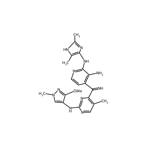 COc1nn(C)cc1Nc1ncc(C)c(C(=N)c2ccnc(Nc3nc(C)[nH]c3C)c2N)n1